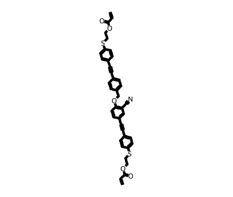 C=CC(=O)OCCSc1ccc(C#Cc2ccc(COc3ccc(C#Cc4ccc(SCCOC(=O)C=C)cc4)cc3C#N)cc2)cc1